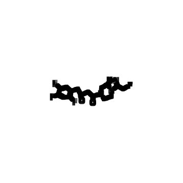 O=C(CC(=O)N1CCn2c(CF)nnc2C1)Cc1cc(F)c(F)cc1F